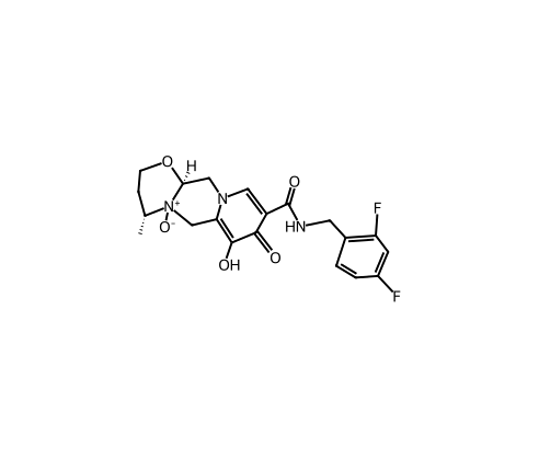 C[C@@H]1CCO[C@H]2Cn3cc(C(=O)NCc4ccc(F)cc4F)c(=O)c(O)c3C[N+]12[O-]